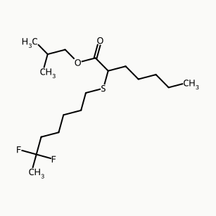 CCCCCC(SCCCCCC(C)(F)F)C(=O)OCC(C)C